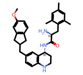 COc1ccc2c(c1)CC(Cc1ccc3c(c1)[C@H](NC(=O)[C@@H](N)Cc1c(C)cc(C)cc1C)CCN3)C2